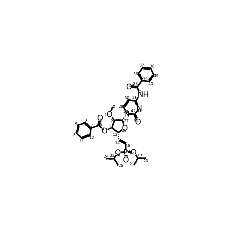 CO[C@@H]1[C@H](OC(=O)c2ccccc2)[C@@H](/C=C/P(=O)(OC(C)C)OC(C)C)O[C@H]1n1ccc(NC(=O)c2ccccc2)nc1=O